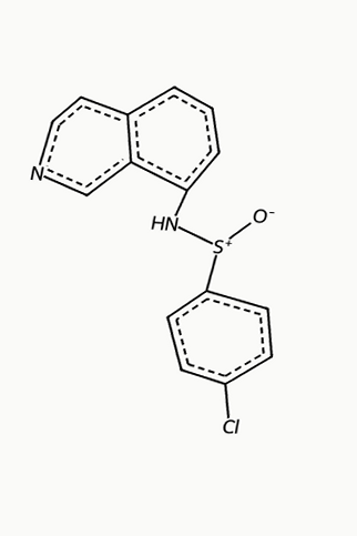 [O-][S+](Nc1cccc2ccncc12)c1ccc(Cl)cc1